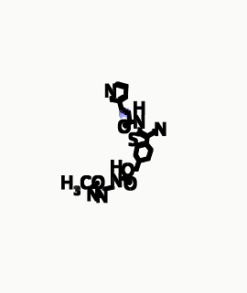 Cc1nnc(CNC(=O)OCC2CCc3c(sc(NC(=O)/C=C/c4cccnc4)c3C#N)C2)o1